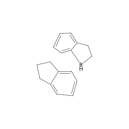 B1CCc2ccccc21.c1ccc2c(c1)CCC2